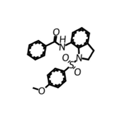 COc1ccc(S(=O)(=O)N2CCc3cccc(NC(=O)c4ccccc4)c32)cc1